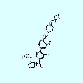 CC1(CN2CCC(COc3ccc(-c4ccc(C(=O)N5CCC[C@@H]5CO)cc4F)cc3F)CC2)CCC1